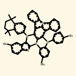 CC(C)(C)c1ccc(N2c3ccc(C(C)(C)C)cc3B3c4sc5ccc(C(C)(C)C)cc5c4N(c4ccc5c(c4)C(C)(C)CCC5(C)C)c4c3c2c2c3ccccc3n3c5ccccc5c4c23)cc1